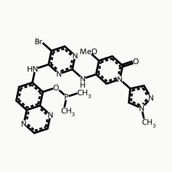 COc1cc(=O)n(-c2cnn(C)c2)cc1Nc1ncc(Br)c(Nc2ccc3nccnc3c2OP(C)C)n1